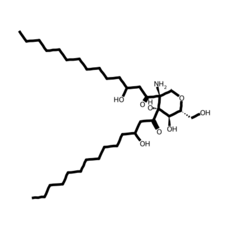 CCCCCCCCCCCC(O)CC(=O)[C@]1(N)[CH]O[C@H](CO)[C@@H](O)[C@@]1(O)C(=O)CC(O)CCCCCCCCCCC